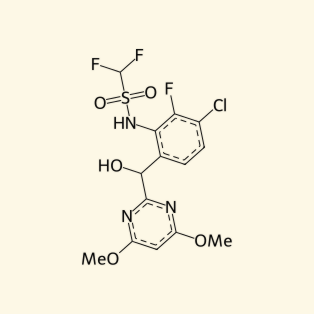 COc1cc(OC)nc(C(O)c2ccc(Cl)c(F)c2NS(=O)(=O)C(F)F)n1